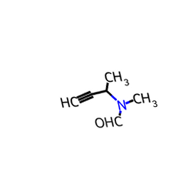 C#CC(C)N(C)C=O